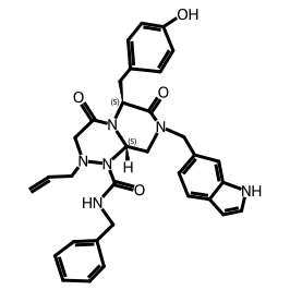 C=CCN1CC(=O)N2[C@@H](Cc3ccc(O)cc3)C(=O)N(Cc3ccc4cc[nH]c4c3)C[C@@H]2N1C(=O)NCc1ccccc1